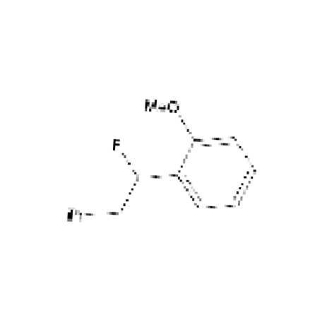 COc1ccccc1C(F)CC(C)C